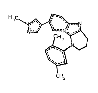 Cc1ccc(C)c(N2CCCc3nc4ccc(-c5cnn(C)c5)cn4c32)c1